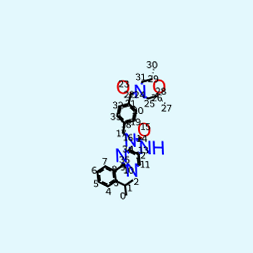 CC(C)c1ccccc1-c1ncc2[nH]c(=O)n(Cc3ccc(C(=O)N4C[C@@H](C)O[C@@H](C)C4)cc3)c2n1